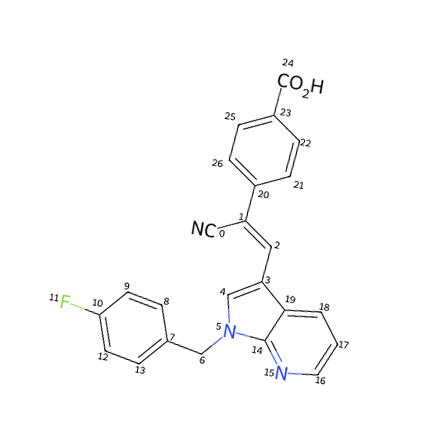 N#C/C(=C\c1cn(Cc2ccc(F)cc2)c2ncccc12)c1ccc(C(=O)O)cc1